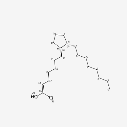 CCCCCCCC[C@H]1CCC[C@@H]1CCCCCC=C(O)Cl